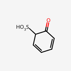 O=C1C=CC=CC1S(=O)(=O)O